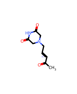 CC(=O)/C=C/CN1CC(=O)NC(=O)C1